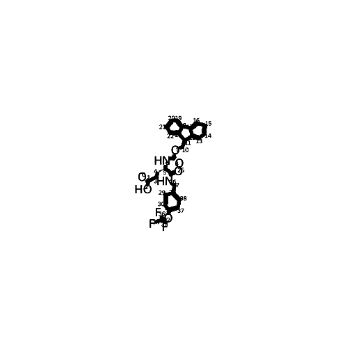 O=C(O)CC[C@H](NC(=O)OCC1c2ccccc2-c2ccccc21)C(=O)NCc1ccc(OC(F)(F)F)cc1